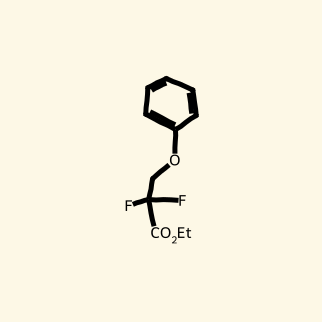 CCOC(=O)C(F)(F)COc1ccccc1